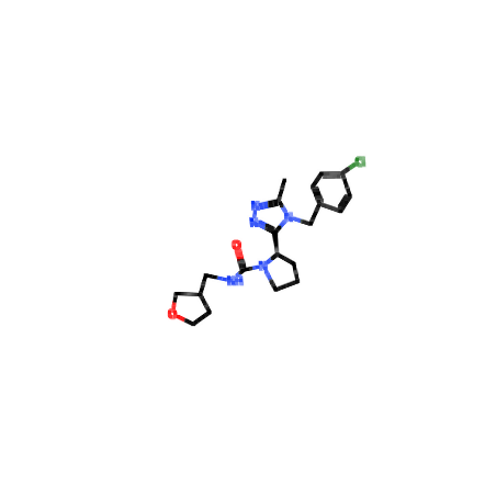 Cc1nnc([C@H]2CCCN2C(=O)NCC2CCOC2)n1Cc1ccc(Cl)cc1